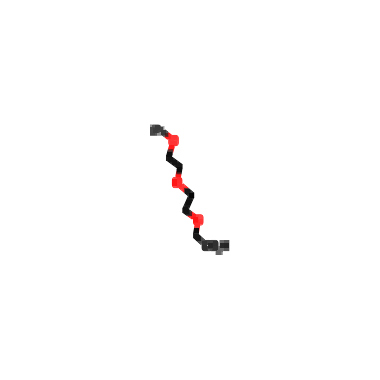 CC(C)OCCOCCOCC(=O)O